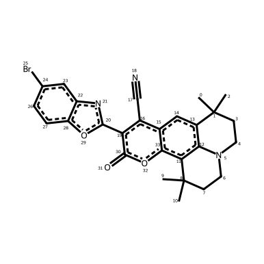 CC1(C)CCN2CCC(C)(C)c3c2c1cc1c(C#N)c(-c2nc4cc(Br)ccc4o2)c(=O)oc31